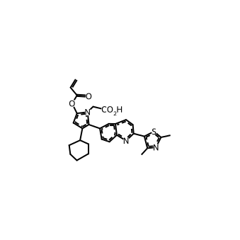 C=CC(=O)Oc1cc(C2CCCCC2)c(-c2ccc3nc(-c4sc(C)nc4C)ccc3c2)n1CC(=O)O